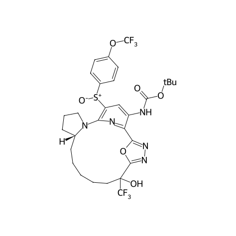 CC(C)(C)OC(=O)Nc1cc([S+]([O-])c2ccc(OC(F)(F)F)cc2)c2nc1-c1nnc(o1)C(O)(C(F)(F)F)CCCCC[C@@H]1CCCN21